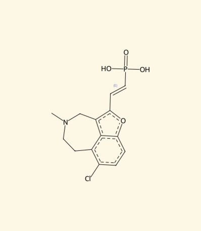 CN1CCc2c(Cl)ccc3oc(/C=C/P(=O)(O)O)c(c23)C1